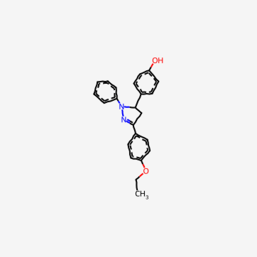 CCOc1ccc(C2=NN(c3ccccc3)C(c3ccc(O)cc3)C2)cc1